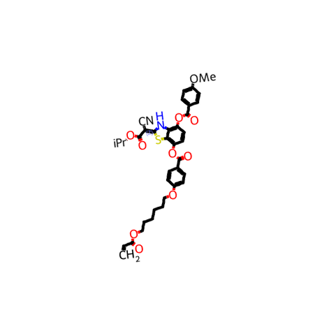 C=CC(=O)OCCCCCCOc1ccc(C(=O)Oc2ccc(OC(=O)c3ccc(OC)cc3)c3c2S/C(=C(/C#N)C(=O)OC(C)C)N3)cc1